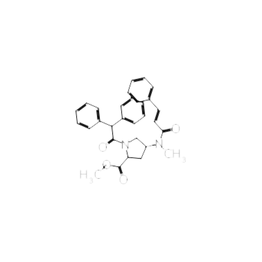 COC(=O)C1C[C@H](N(C)C(=O)/C=C/c2ccccc2)CN1C(=O)C(c1ccccc1)c1ccccc1